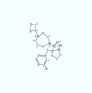 CC(=O)N1CCCC1(Cc1cccc(F)c1)C(=O)N1CCCN(C2CCC2)CC1